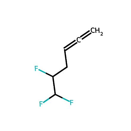 C=C=CCC(F)C(F)F